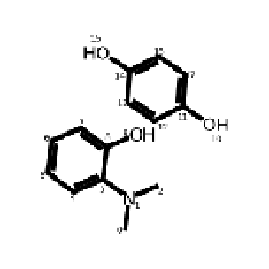 CN(C)c1ccccc1O.Oc1ccc(O)cc1